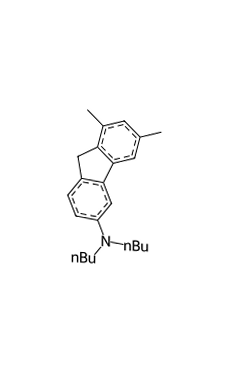 CCCCN(CCCC)c1ccc2c(c1)-c1cc(C)cc(C)c1C2